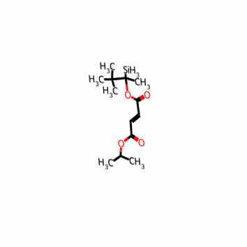 CC(C)OC(=O)C=CC(=O)OC(C)([SiH3])C(C)(C)C